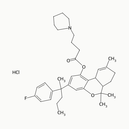 CCCC(C)(c1ccc(F)cc1)c1cc(OC(=O)CCCN2CCCCC2)c2c(c1)OC(C)(C)C1CCC(C)=CC21.Cl